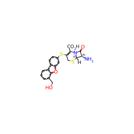 N[C@@H]1C(=O)N2C(C(=O)O)=C(Sc3ccc4c(c3)oc3c(CO)cccc34)CS[C@@H]12